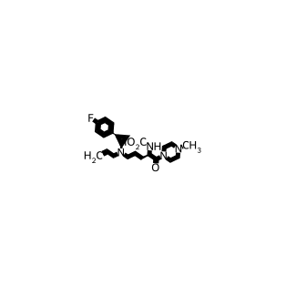 C=CCN(CCC[C@@H](NC(=O)O)C(=O)N1CCN(C)CC1)[C@@H]1C[C@H]1c1ccc(F)cc1